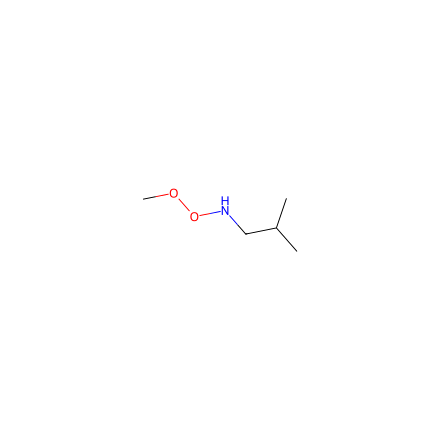 COONCC(C)C